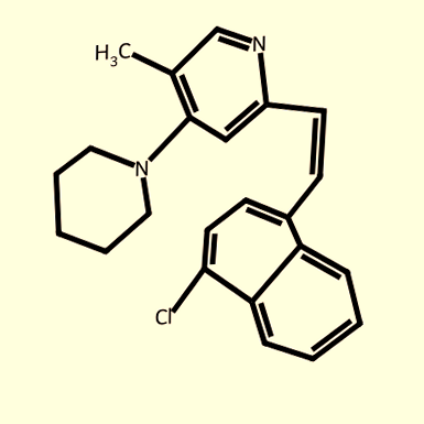 Cc1cnc(/C=C\c2ccc(Cl)c3ccccc23)cc1N1CCCCC1